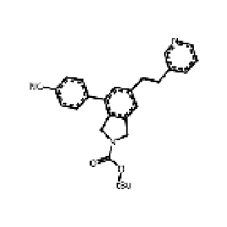 CC(C)(C)OC(=O)N1Cc2cc(CCc3cccnc3)cc(-c3ccc(C#N)cc3)c2C1